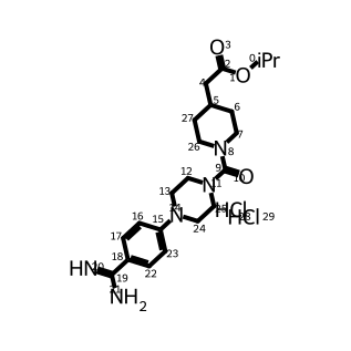 CC(C)OC(=O)CC1CCN(C(=O)N2CCN(c3ccc(C(=N)N)cc3)CC2)CC1.Cl.Cl